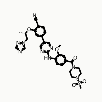 COc1cc(C(=O)N2CCN(S(C)(=O)=O)CC2)ccc1Nc1ncc(-c2ccc(C#N)c(O[C@@H](C)Cn3cncn3)c2)cn1